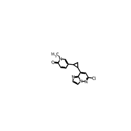 Cn1cc(C2CC2c2cc(Cl)nn3ccnc23)ccc1=O